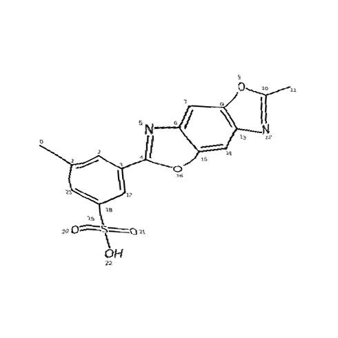 Cc1cc(-c2nc3cc4oc(C)nc4cc3o2)cc(S(=O)(=O)O)c1